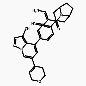 N#Cc1cnn2cc(C3=CCOCC3)cc(-c3ccc(N4CC5CCC(C4)N5C(=O)/C(C=N)=C/N)nc3)c12